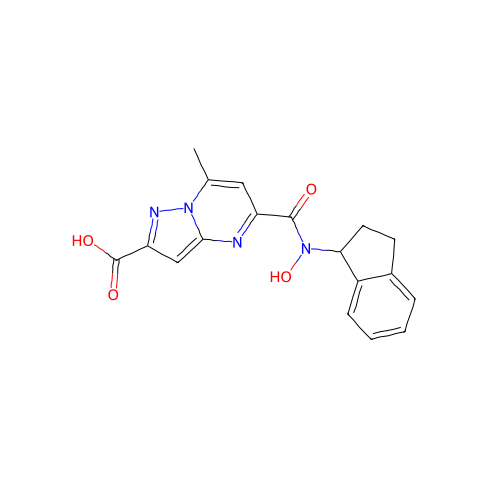 Cc1cc(C(=O)N(O)C2CCc3ccccc32)nc2cc(C(=O)O)nn12